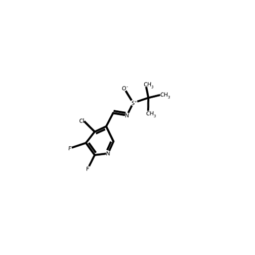 CC(C)(C)[S+]([O-])N=Cc1cnc(F)c(F)c1Cl